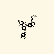 COCCCN1CCOc2ccc(CO[C@H]3CNC[C@@H](O)[C@@H]3c3ccc(Oc4ccc(Cl)c(Cl)c4)cc3)cc21